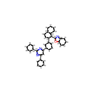 c1ccc(-c2cc(-c3cccc(-c4ccc5ccccc5c4-c4nc5ccccc5o4)c3)nc(-c3ccccc3)n2)cc1